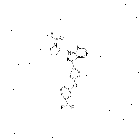 C=CC(=O)N1CCC[C@H]1Cn1nc(-c2ccc(Oc3cccc(C(F)F)c3)cc2)c2cncnc21